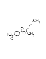 CCCCCC[C@@H](C)OC(=O)c1ccc(C(=O)O)cc1